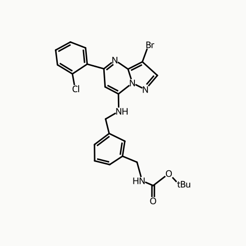 CC(C)(C)OC(=O)NCc1cccc(CNc2cc(-c3ccccc3Cl)nc3c(Br)cnn23)c1